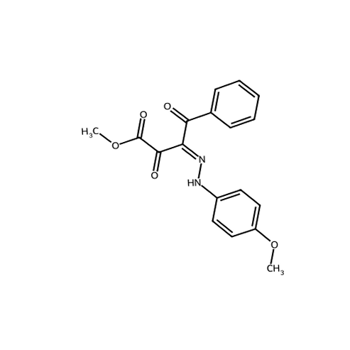 COC(=O)C(=O)C(=NNc1ccc(OC)cc1)C(=O)c1ccccc1